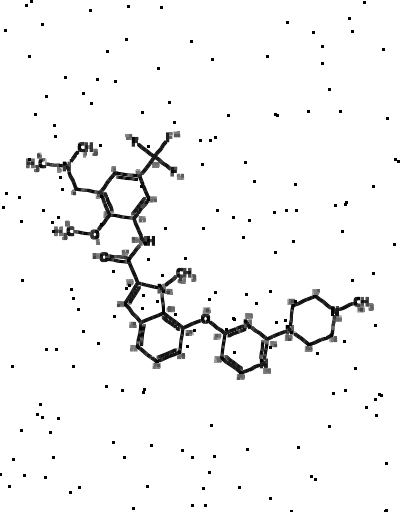 COc1c(CN(C)C)cc(C(F)(F)F)cc1NC(=O)c1cc2cccc(Oc3ccnc(N4CCN(C)CC4)n3)c2n1C